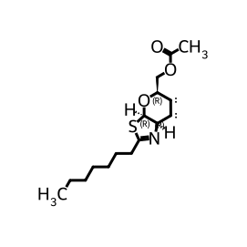 CCCCCCCC1=N[C@@H]2[C][C][C@H](COC(C)=O)O[C@@H]2S1